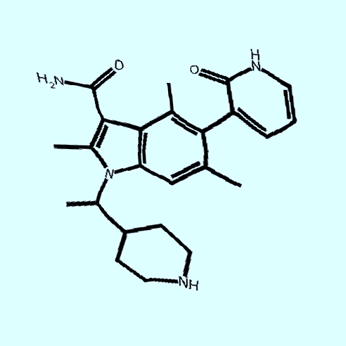 Cc1cc2c(c(C)c1-c1ccc[nH]c1=O)c(C(N)=O)c(C)n2C(C)C1CCNCC1